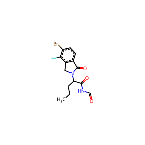 CCCC(C(=O)NC=O)N1Cc2c(ccc(Br)c2F)C1=O